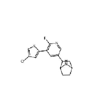 Fc1ncc(C2CC3CCC2N3)cc1-c1cc(Cl)cs1